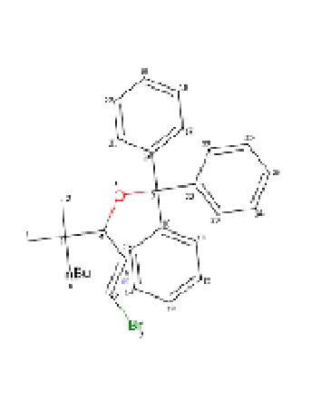 CCCCC(C)(C)C(/C=C/Br)OC(c1ccccc1)(c1ccccc1)c1ccccc1